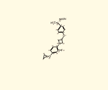 CC(=O)N[C@@H](C)c1ccc(OC2CN(c3ccc(OC4CC4)cc3F)C2)cc1